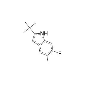 Cc1cc2cc(C(C)(C)C)[nH]c2cc1F